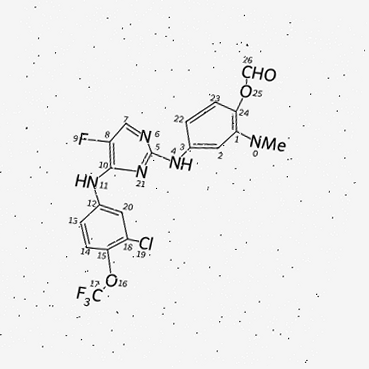 CNc1cc(Nc2ncc(F)c(Nc3ccc(OC(F)(F)F)c(Cl)c3)n2)ccc1OC=O